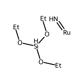 CCO[SiH](OCC)OCC.[NH]=[Ru]